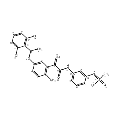 CC(Oc1ccc(N)c(C(=N)C(=O)Nc2cccc(N=S(C)(C)=O)c2)c1)c1c(Cl)cncc1Cl